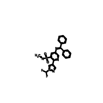 C=NS(=O)(=O)c1cc(N=C(c2ccccc2)c2ccccc2)cnc1-c1cnn(C(F)F)c1